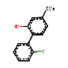 CSc1ccc(-c2ccccc2Cl)c(O)c1